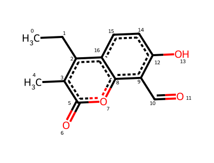 CCc1c(C)c(=O)oc2c(C=O)c(O)ccc12